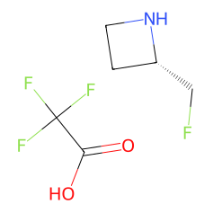 FC[C@@H]1CCN1.O=C(O)C(F)(F)F